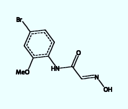 COc1cc(Br)ccc1NC(=O)/C=N/O